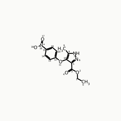 CCOC(=O)c1n[nH]c(C)c1Oc1ccc([N+](=O)[O-])cc1